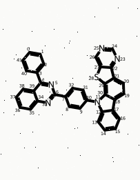 c1ccc(-c2nc(-c3ccc(-n4c5ccccc5c5ccc6c7ncncc7sc6c54)cc3)nc3ccccc23)cc1